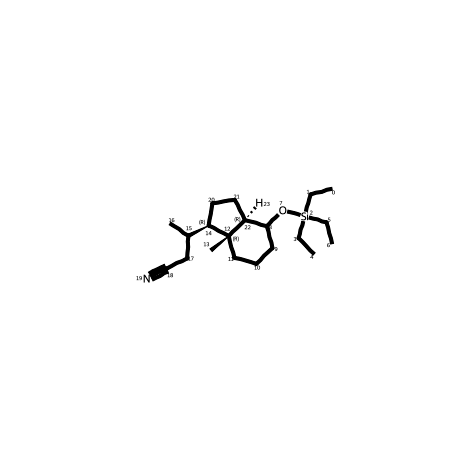 CC[Si](CC)(CC)OC1CCC[C@]2(C)[C@@H](C(C)CC#N)CC[C@@H]12